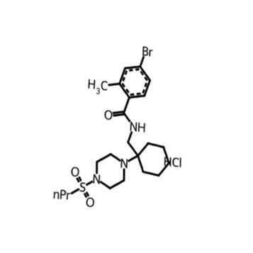 CCCS(=O)(=O)N1CCN(C2(CNC(=O)c3ccc(Br)cc3C)CCCCC2)CC1.Cl